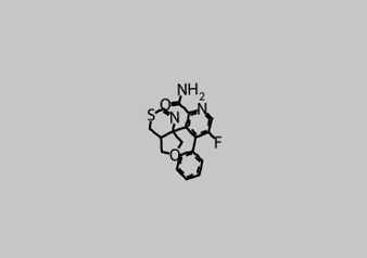 NC(=O)c1ncc(F)c(-c2ccccc2)c1C12COCC1CSC=N2